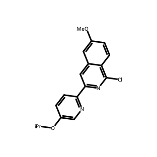 COc1ccc2c(Cl)nc(-c3ccc(OC(C)C)cn3)cc2c1